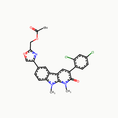 Cn1c(=O)c(-c2ccc(Cl)cc2Cl)cc2c3cc(-c4coc(COC(=O)C(C)(C)C)n4)ccc3n(C)c21